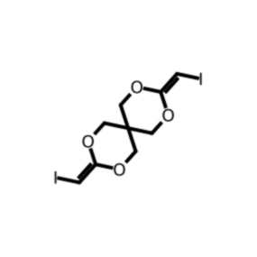 IC=C1OCC2(CO1)COC(=CI)OC2